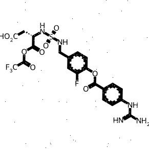 N=C(N)Nc1ccc(C(=O)Oc2ccc(CNS(=O)(=O)N[C@@H](CC(=O)O)C(=O)OC(=O)C(F)(F)F)cc2F)cc1